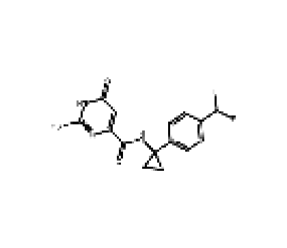 Cc1nc(C(=O)NC2(c3ccc(C(F)F)cc3)CC2)cc(=O)[nH]1